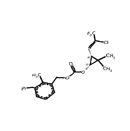 Cc1c(COC(=O)O[C@@H]2[C@H](C=C(Cl)C(F)(F)F)C2(C)C)cccc1C(C)C